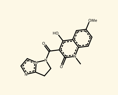 COc1ccc2c(c1)c(O)c(C(=O)N1CCc3nccn31)c(=O)n2C